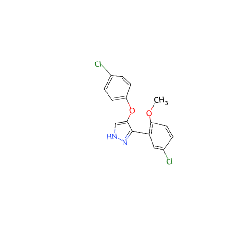 COc1ccc(Cl)cc1-c1n[nH]cc1Oc1ccc(Cl)cc1